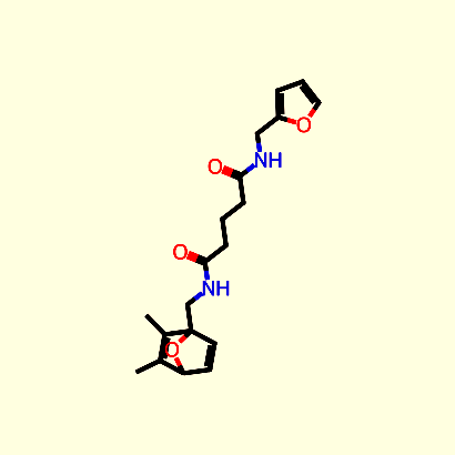 CC1=C(C)C2(CNC(=O)CCCC(=O)NCc3ccco3)C=CC1O2